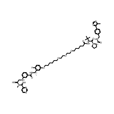 Cc1ncsc1-c1ccc(CNC(=O)[C@@H]2CCCN2C(=O)[C@@H](NC(=O)CCCCCOCCOCCOCCCCCCOc2ccc(F)c([C@H](C)NC(=O)c3cccc(NCC(=N)N(C)C(=N)c4ccncn4)c3)c2)C(C)(C)C)cc1